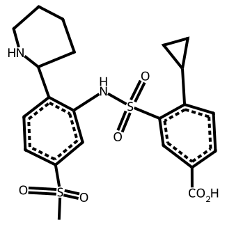 CS(=O)(=O)c1ccc(C2CCCCN2)c(NS(=O)(=O)c2cc(C(=O)O)ccc2C2CC2)c1